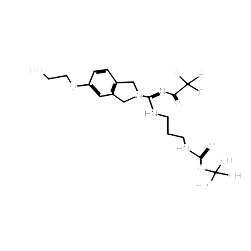 CC(C)(C)OC(=O)NCCCN/C(=N\C(=O)C(F)(F)F)N1Cc2ccc(OCCO)cc2C1